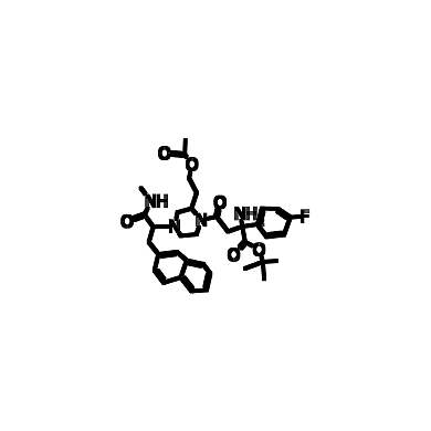 CNC(=O)C(Cc1ccc2ccccc2c1)N1CCN(C(=O)CC(N)(C(=O)OC(C)(C)C)c2ccc(F)cc2)C(CCOC(C)=O)C1